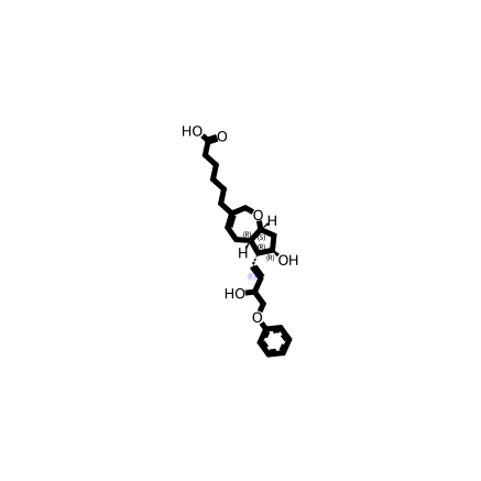 O=C(O)CCCCCC1=CC[C@@H]2[C@@H](/C=C/C(O)COc3ccccc3)[C@H](O)C[C@@H]2OC1